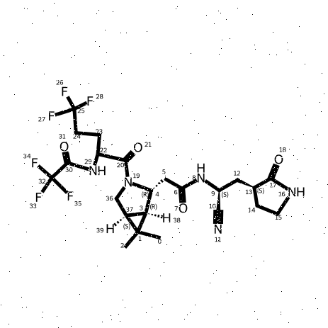 CC1(C)[C@@H]2[C@@H](CC(=O)N[C@H](C#N)C[C@@H]3CCNC3=O)N(C(=O)C(CCC(F)(F)F)NC(=O)C(F)(F)F)C[C@@H]21